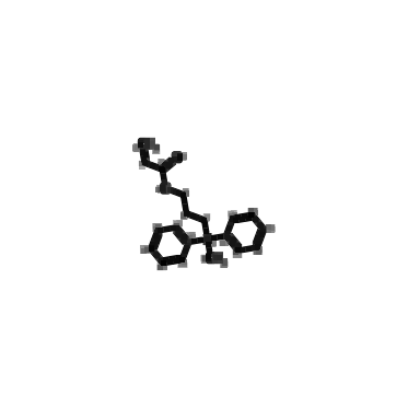 C=CC(=O)OCCCS(C)(c1ccccc1)c1ccccc1